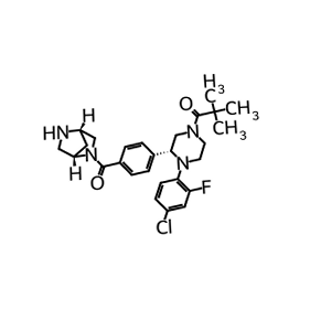 CC(C)(C)C(=O)N1CCN(c2ccc(Cl)cc2F)[C@H](c2ccc(C(=O)N3C[C@@H]4C[C@H]3CN4)cc2)C1